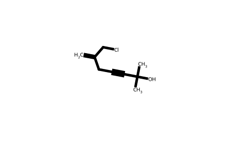 C=C(CCl)CC#CC(C)(C)O